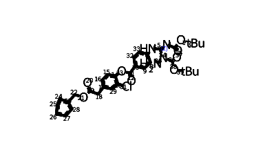 CC(C)(C)OC(=O)/N=C(/Nc1ccc(C(=O)Oc2ccc(CC(=O)OCc3ccccc3)cc2Cl)cc1)N(N)C(=O)OC(C)(C)C